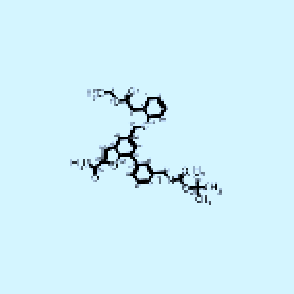 CCOC(=O)Cc1ccccc1OCc1cc(-c2cccc(CNC(=O)OC(C)(C)C)c2)c2oc(C(C)=O)cc2c1